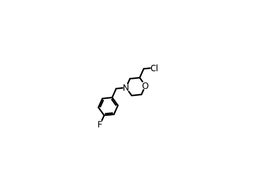 Fc1ccc(CN2CCOC(CCl)C2)cc1